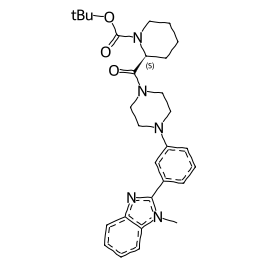 Cn1c(-c2cccc(N3CCN(C(=O)[C@@H]4CCCCN4C(=O)OC(C)(C)C)CC3)c2)nc2ccccc21